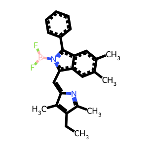 CCC1=C(C)/C(=C/c2c3cc(C)c(C)cc3c(-c3ccccc3)n2B(F)F)N=C1C